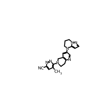 Cc1cc(C#N)nnc1N1CCc2ncc(N3CCCn4nccc43)cc2C1